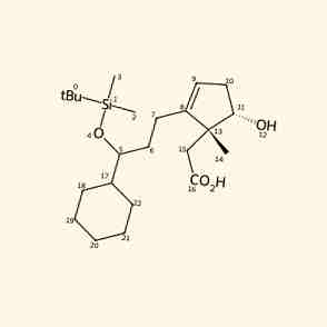 CC(C)(C)[Si](C)(C)OC(CCC1=CC[C@H](O)[C@]1(C)CC(=O)O)C1CCCCC1